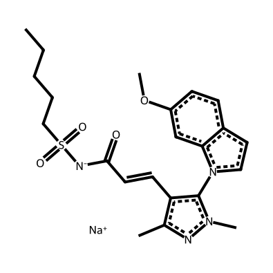 CCCCCS(=O)(=O)[N-]C(=O)/C=C/c1c(C)nn(C)c1-n1ccc2ccc(OC)cc21.[Na+]